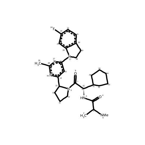 CNC(C)C(=O)N[C@H](C(=O)N1CCCC1c1cc(N2CCc3ccc(F)cc32)nc(C)n1)C1CCCCC1